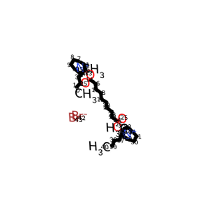 CCCCC[N+]1(C)C2CCC1CC(OC(=O)CCCCCCCCC(=O)OC1CC3CCC(C1)[N+]3(C)CCCCC)C2.[Br-].[Br-]